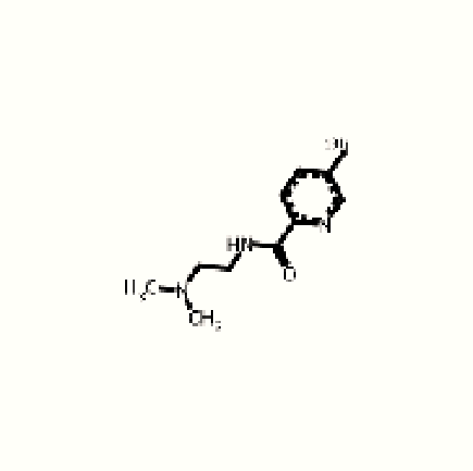 CN(C)CCNC(=O)c1ccc([131I])cn1